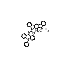 CC1(C)c2ccccc2-c2cc3c4ccccc4n(-c4nc5c6c(cccc6n4)N(c4ccccc4)c4ccccc4-5)c3cc21